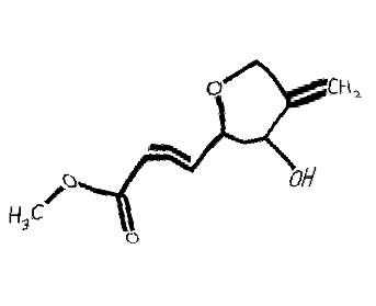 C=C1COC(/C=C/C(=O)OC)C1O